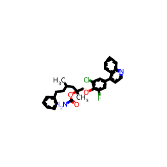 CC(CCc1ccccc1)CC(C)(COc1c(F)cc(-c2ccnc3ccccc23)cc1Cl)OC(N)=O